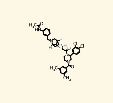 CC(=O)Nc1cccc(CN2C[C@H]3C[C@@H]2C[C@H]3NCC(=O)N2CCN(C(=O)c3cc(C)cc(C)c3)CC2c2ccc(Cl)c(Cl)c2)c1